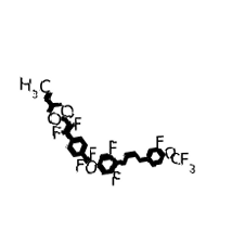 C/C=C/C1COC(/C(F)=C(\F)c2ccc(C(F)(F)Oc3cc(F)c(C/C=C\Cc4ccc(OC(F)(F)F)c(F)c4)c(F)c3)cc2)OC1